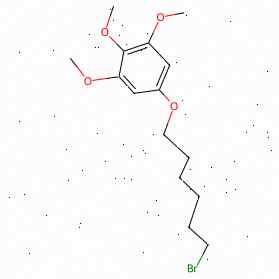 COc1cc(OCCCCCCBr)cc(OC)c1OC